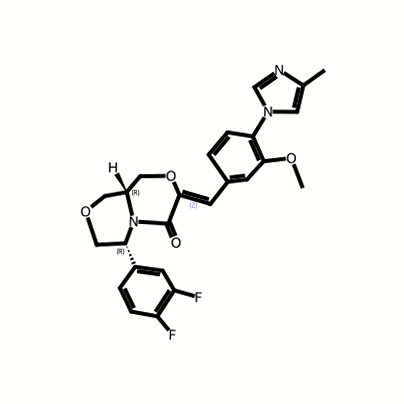 COc1cc(/C=C2\OC[C@H]3COC[C@@H](c4ccc(F)c(F)c4)N3C2=O)ccc1-n1cnc(C)c1